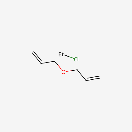 C=CCOCC=C.CCCl